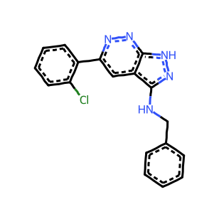 Clc1ccccc1-c1cc2c(NCc3ccccc3)n[nH]c2nn1